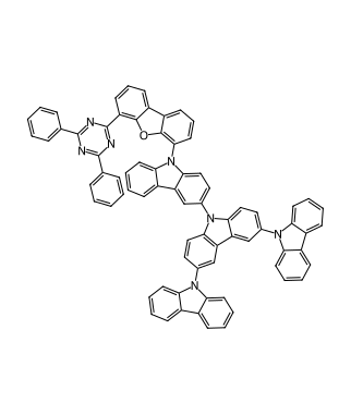 c1ccc(-c2nc(-c3ccccc3)nc(-c3cccc4c3oc3c(-n5c6ccccc6c6cc(-n7c8ccc(-n9c%10ccccc%10c%10ccccc%109)cc8c8cc(-n9c%10ccccc%10c%10ccccc%109)ccc87)ccc65)cccc34)n2)cc1